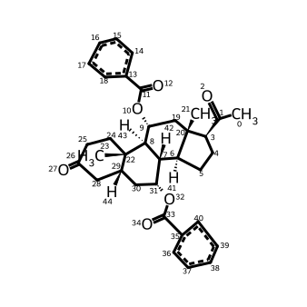 CC(=O)[C@H]1CC[C@H]2[C@H]3[C@H]([C@H](OC(=O)c4ccccc4)C[C@]12C)[C@@]1(C)CCC(=O)C[C@H]1C[C@H]3OC(=O)c1ccccc1